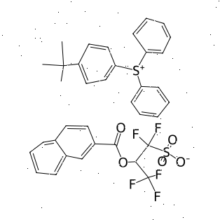 CC(C)(C)c1ccc([S+](c2ccccc2)c2ccccc2)cc1.O=C(OC(C(F)(F)F)C(F)(F)S(=O)(=O)[O-])c1ccc2ccccc2c1